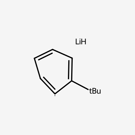 CC(C)(C)c1[c]cccc1.[LiH]